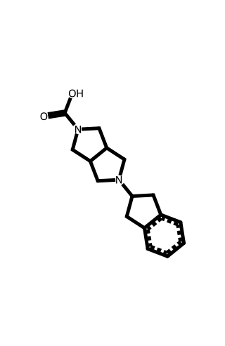 O=C(O)N1CC2CN(C3Cc4ccccc4C3)CC2C1